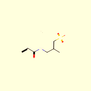 C=CC(=O)NCC(C)CS(=O)(=O)[O-].[Na+]